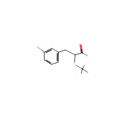 CC(C)(C)NC(Cc1cccc(Cl)c1)C(=O)O